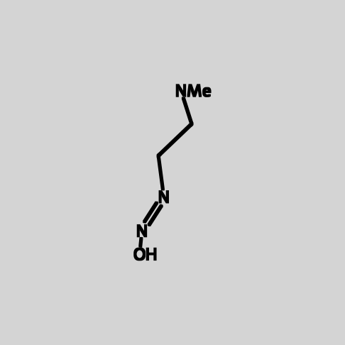 CNCCN=NO